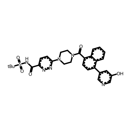 CC(C)(C)S(=O)(=O)NC(=O)c1ccc(N2CCN(C(=O)c3ccc(-c4cncc(O)c4)c4ccccc34)CC2)nn1